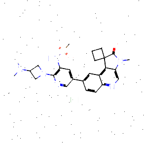 CCN(C)C1CN(c2ncc(-c3ccc4ncc5c(c4c3)C3(CCC3)C(=O)N5C)cc2NS(C)(=O)=O)C1.Cl